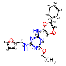 CCOc1nc(NCc2ccco2)nc(NC2=COC=C(C3=CC=CCC3)O2)n1